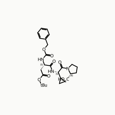 CC(C)(C)OC(=O)C[C@H](NC(=O)OCc1ccccc1)C(=O)N[C@H](C(=O)N1CCC[C@@H]1C(=O)O)C1CC1